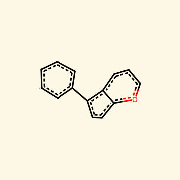 [c]1cccc(-c2ccc3occcc2-3)c1